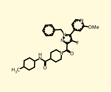 COc1cc(-c2c(F)c(C(=O)N3CCC(C(=O)NC4CCC(C)CC4)CC3)nn2Cc2ccccc2)ccn1